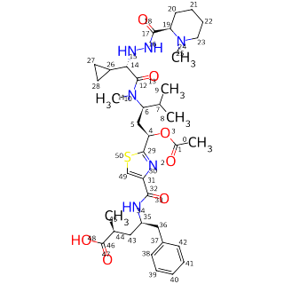 CC(=O)O[C@H](C[C@H](C(C)C)N(C)C(=O)[C@@H](NNC(=O)[C@H]1CCCCN1C)C1CC1)c1nc(C(=O)N[C@@H](Cc2ccccc2)C[C@H](C)C(=O)O)cs1